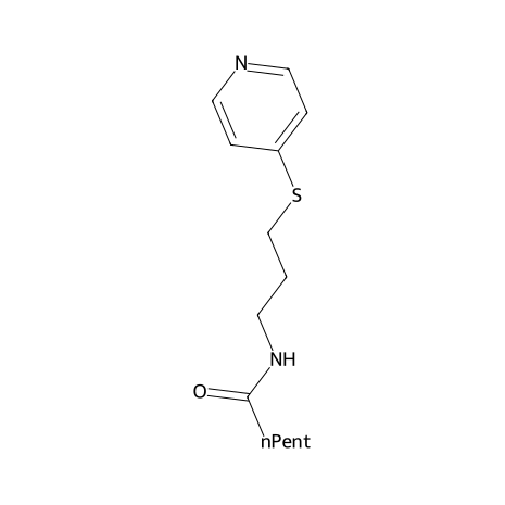 CCCCCC(=O)NCCCSc1ccncc1